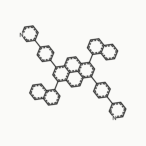 c1cncc(-c2ccc(-c3cc(-c4cccc5ccccc45)c4ccc5c(-c6ccc(-c7cccnc7)cc6)cc(-c6cccc7ccccc67)c6ccc3c4c56)cc2)c1